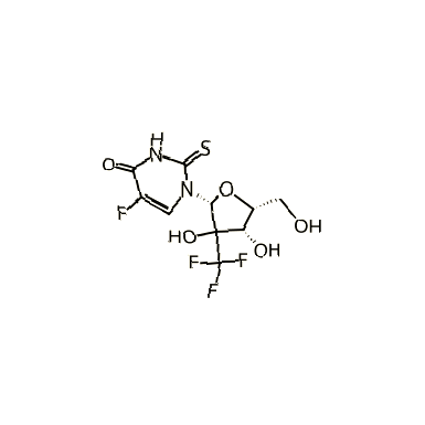 O=c1[nH]c(=S)n([C@@H]2O[C@H](CO)[C@H](O)C2(O)C(F)(F)F)cc1F